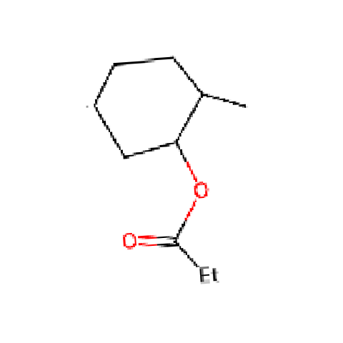 CCC(=O)OC1C[CH]CCC1C